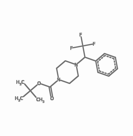 CC(C)(C)OC(=O)N1CCN(C(c2ccccc2)C(F)(F)F)CC1